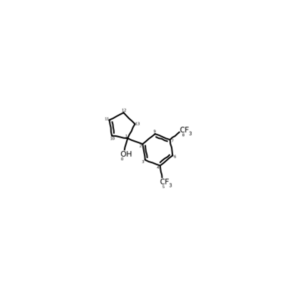 OC1(c2cc(C(F)(F)F)cc(C(F)(F)F)c2)C=CCC1